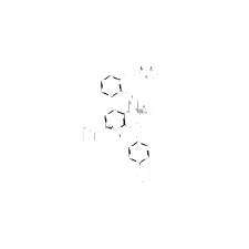 COc1ccccc1CN(C(C)=O)c1ccc(Br)nc1Oc1ccc(Cl)cc1